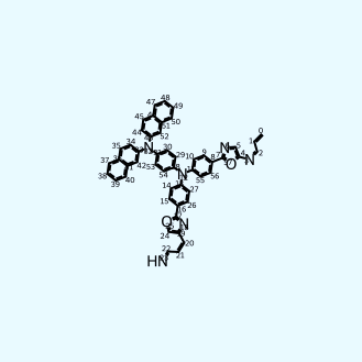 C=C/C=N\c1cnc(-c2ccc(N(c3ccc(-c4nc(/C=C\C=N)co4)cc3)c3ccc(N(c4ccc5ccccc5c4)c4ccc5ccccc5c4)cc3)cc2)o1